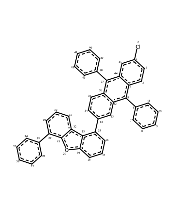 Clc1ccc2c(-c3ccccc3)c3cc(-c4cccc5oc6c(-c7ccccc7)cccc6c45)ccc3c(-c3ccccc3)c2c1